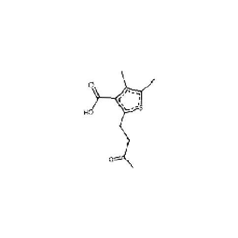 CC(=O)CCc1sc(C)c(C)c1C(=O)O